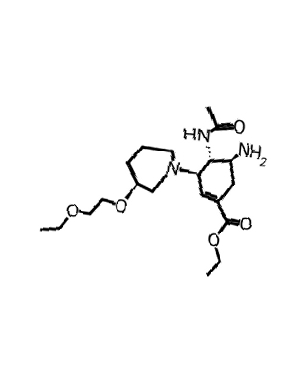 CCOCCO[C@H]1CCCN([C@@H]2C=C(C(=O)OCC)C[C@H](N)[C@H]2NC(C)=O)C1